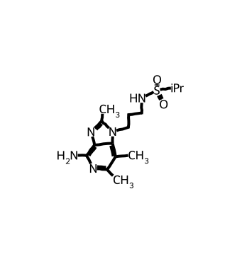 Cc1nc(N)c2nc(C)n(CCCNS(=O)(=O)C(C)C)c2c1C